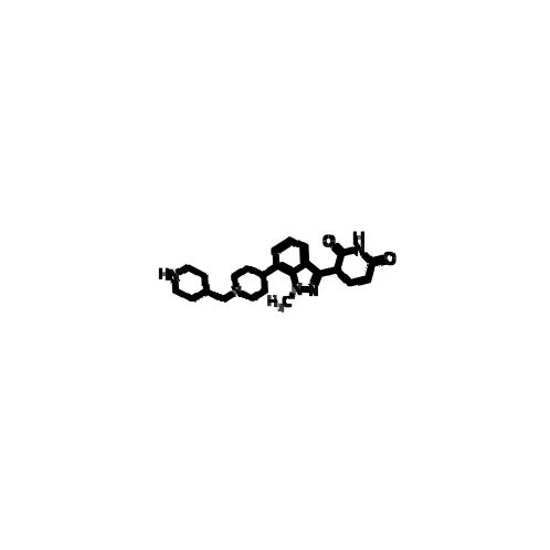 Cn1nc(C2CCC(=O)NC2=O)c2cccc(C3CCN(CC4CCNCC4)CC3)c21